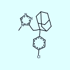 Cn1cnnc1CC1(c2ccc(Cl)cc2)C2CC3CC(C2)CC1C3